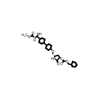 COC(=O)NC(=N)c1ccc(-c2ccc(OC[C@@H]3C[C@@H](CC(=O)OCc4ccccc4)C(=O)N3)cc2)cc1